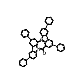 O=c1c2cc(-c3ccccc3)cc3c4cc(-c5ccccc5)ccc4n(c4cc(-c5ccccc5)cc5c6cc(-c7ccccc7)ccc6n1c54)c23